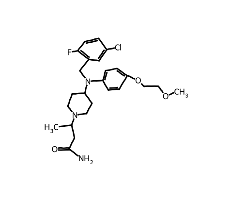 COCCOc1ccc(N(Cc2cc(Cl)ccc2F)C2CCN(C(C)CC(N)=O)CC2)cc1